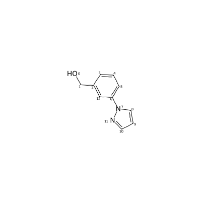 OCc1cccc(-n2cccn2)c1